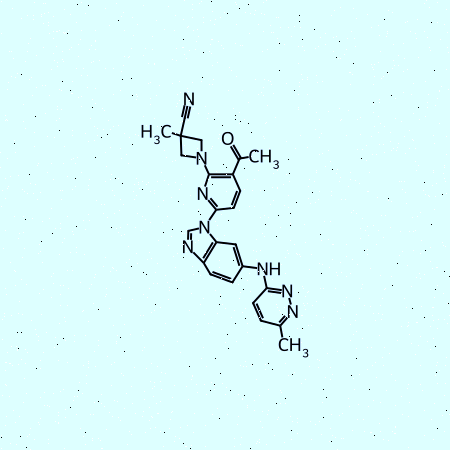 CC(=O)c1ccc(-n2cnc3ccc(Nc4ccc(C)nn4)cc32)nc1N1CC(C)(C#N)C1